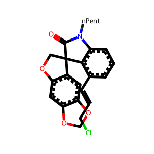 CCCCCN1C(=O)C2(COc3cc4c(cc32)OCO4)c2c(C=CCCl)cccc21